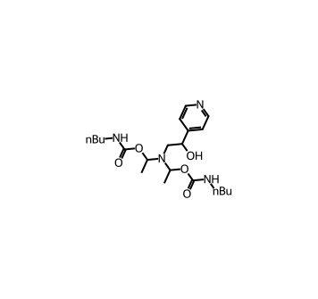 CCCCNC(=O)OC(C)N(CC(O)c1ccncc1)C(C)OC(=O)NCCCC